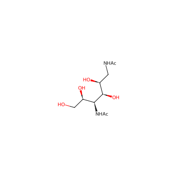 CC(=O)NC[C@H](O)[C@@H](O)[C@@H](NC(C)=O)[C@H](O)CO